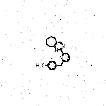 Cc1ccc(Cc2cccc(-c3ncc4c(n3)CCCCC4)n2)cc1